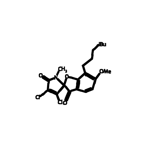 CCC(C)CCCc1c(OC)ccc2c1OC1(C2=O)C(Cl)=C(Cl)C(=O)N1C